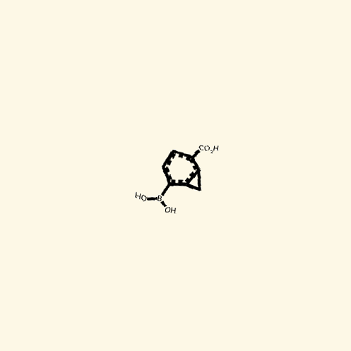 O=C(O)c1ccc(B(O)O)c2c1C2